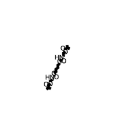 C=C(C)C(=O)OCCNC(=O)OCCCCCOC(=O)NCCOC(=O)C(=C)C